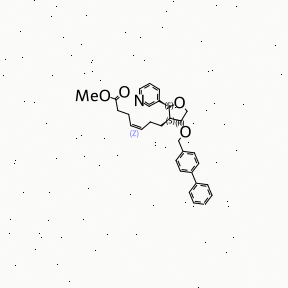 COC(=O)CC/C=C\CC[C@@H]1[C@@H](OCc2ccc(-c3ccccc3)cc2)CO[C@@H]1c1cccnc1